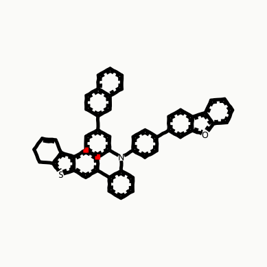 C1=Cc2c(sc3cc(-c4ccccc4N(c4ccc(-c5ccc6c(c5)oc5ccccc56)cc4)c4cccc(-c5ccc6ccccc6c5)c4)ccc23)CC1